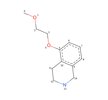 COCCOc1cccc2c1CC[N]C2